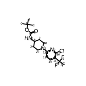 CC(C)(C)OC(=O)NC1CCN(c2ccc(C(F)(F)F)c(Cl)n2)CC1